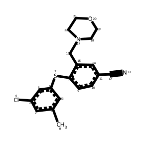 Cc1cc(Cl)cc(Sc2ccc(C#N)cc2CN2CCOCC2)c1